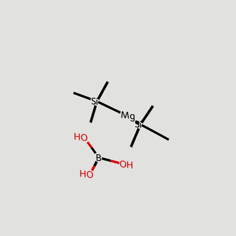 C[Si](C)(C)[Mg][Si](C)(C)C.OB(O)O